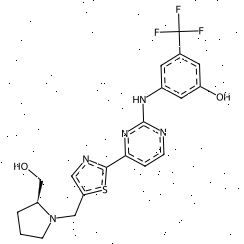 OC[C@@H]1CCCN1Cc1cnc(-c2ccnc(Nc3cc(O)cc(C(F)(F)F)c3)n2)s1